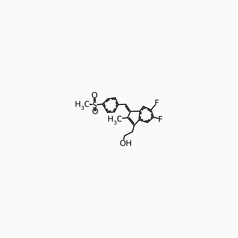 CC1=C(CCO)c2cc(F)c(F)cc2C1=Cc1ccc(S(C)(=O)=O)cc1